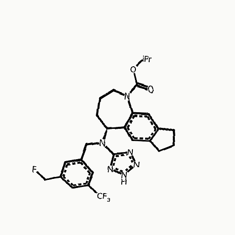 CC(C)OC(=O)N1CCC[C@H](N(Cc2cc(CF)cc(C(F)(F)F)c2)c2nn[nH]n2)c2cc3c(cc21)CCC3